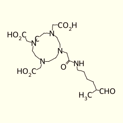 CC(C=O)CCCCNC(=O)CN1CCN(CC(=O)O)CCN(CC(=O)O)CCN(CC(=O)O)CC1